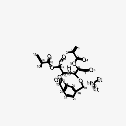 C=C(C)C(=O)OC(=C=O)C1NC(C(=C=O)OC(=O)C(=C)C)OCc2ccc(cc2[N+](=O)[O-])CO1.[CH2]CNC[CH2]